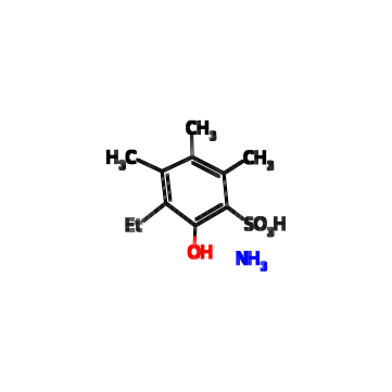 CCc1c(C)c(C)c(C)c(S(=O)(=O)O)c1O.N